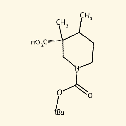 CC1CCN(C(=O)OC(C)(C)C)C[C@]1(C)C(=O)O